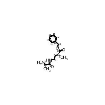 C[C@H](N)C(=O)NCCN(C)C(=O)OCc1ccccc1